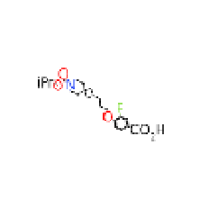 CC(C)OC(=O)N1CCC2(CC1)CC(CCCOc1ccc(C(=O)O)cc1F)C2